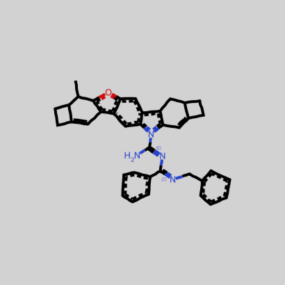 CC1c2oc3cc4c5c(n(/C(N)=N/C(=N\Cc6ccccc6)c6ccccc6)c4cc3c2C=C2CCC21)C=C1CCC1C5